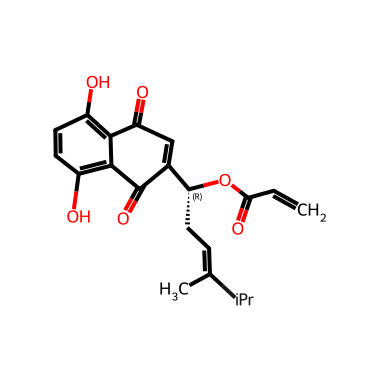 C=CC(=O)O[C@H](CC=C(C)C(C)C)C1=CC(=O)c2c(O)ccc(O)c2C1=O